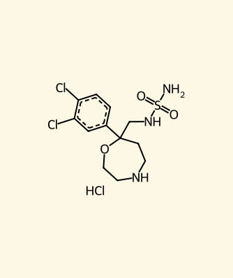 Cl.NS(=O)(=O)NCC1(c2ccc(Cl)c(Cl)c2)CCNCCO1